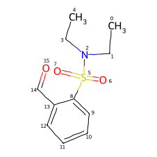 CCN(CC)S(=O)(=O)c1ccccc1C=O